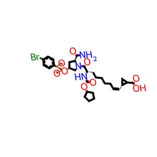 NC(=O)[C@@H]1C[C@H](OS(=O)(=O)c2ccc(Br)cc2)CN1C(=O)[C@H](CCCCC/C=C\[C@@H]1CC1C(=O)O)NC(=O)OC1CCCC1